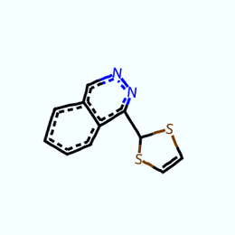 C1=CSC(c2nncc3ccccc23)S1